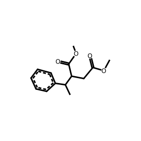 COC(=O)CC(C(=O)OC)C(C)c1ccccc1